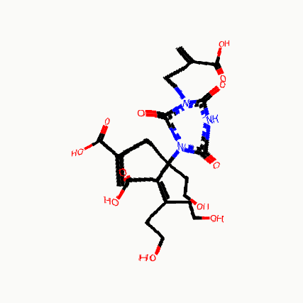 C=C(Cn1c(=O)[nH]c(=O)n(C(CCO)(CC(=C)C(=O)O)C(C(=O)O)=C(CCO)CCO)c1=O)C(=O)O